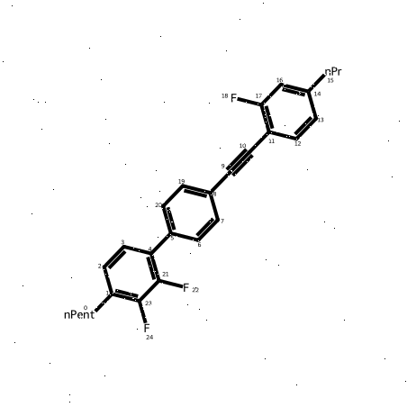 CCCCCc1ccc(-c2ccc(C#Cc3ccc(CCC)cc3F)cc2)c(F)c1F